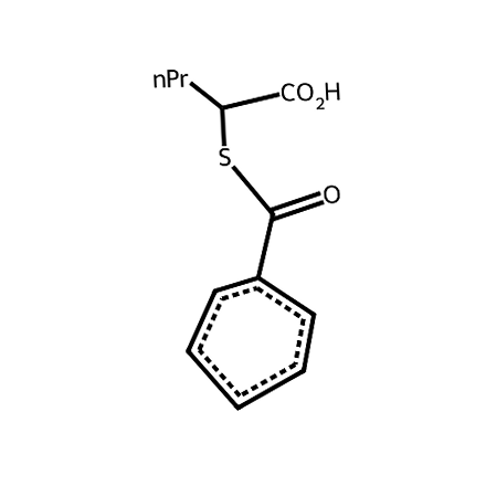 CCCC(SC(=O)c1ccccc1)C(=O)O